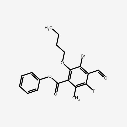 CCCCOc1c(Br)c(C=O)c(F)c(C)c1C(=O)Oc1ccccc1